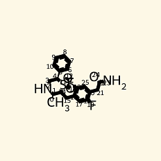 C[C@@H]1NC[C@@H](c2ccccc2)S(=O)(=O)C1Cc1cc(F)c(CC(N)=O)cc1F